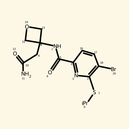 CC(C)Sc1nc(C(=O)NC2(CC(N)=O)COC2)ccc1Br